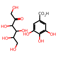 O=C(CO)C(O)C(O)C(O)CO.O=C(O)c1cc(O)c(O)c(O)c1